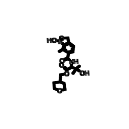 Cc1c(C(=O)NC(C(=O)OCC2CCOCC2)C(C)(C)O)ccc2c1B(O)OC2